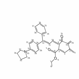 C=C1C=C(C(=O)OCC)/C(=C\C=C(/c2ccccc2)c2ccc(N3CCCC3)cc2)C(=O)C1=C